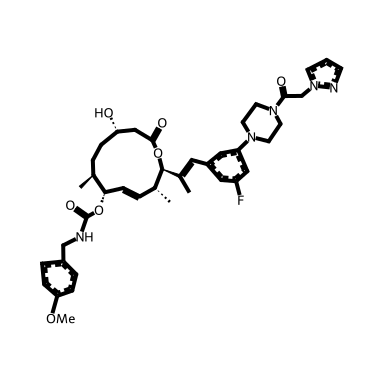 COc1ccc(CNC(=O)O[C@H]2/C=C/[C@@H](C)[C@H](/C(C)=C/c3cc(F)cc(N4CCN(C(=O)Cn5cccn5)CC4)c3)OC(=O)C[C@@H](O)CC[C@@H]2C)cc1